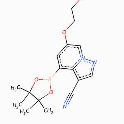 CC1(C)OB(c2cc(OCCO)cn3ncc(C#N)c23)OC1(C)C